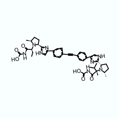 CC[C@@H](C(=O)NC(=O)O)N1[C@@H](C)CC[C@H]1c1nc(-c2ccc(C#Cc3ccc(-c4c[nH]c([C@@H]5CC[C@H](C)N5[C@](C)(C(=O)NC(=O)O)C(C)C)n4)cc3)cc2)c[nH]1